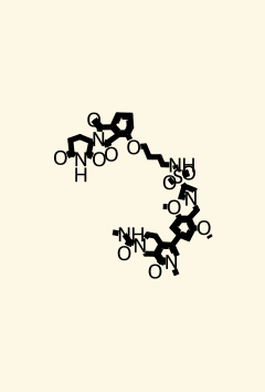 CNC(=O)N1CCc2c(-c3cc(OC)c(CN4CC(S(=O)(=O)NCCCCOc5cccc6c5C(=O)N(C5CCC(=O)NC5=O)C6=O)C4)c(OC)c3)cn(C)c(=O)c2C1